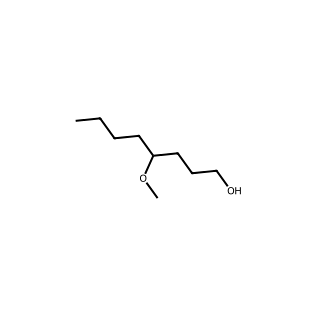 CCCCC(CCCO)OC